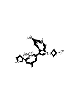 CO[C@@]1(c2cc(C)cc(-c3cn([C@H]4C[C@@H](C#N)C4)c4cnc(NC(C)=O)cc34)n2)CCOC1